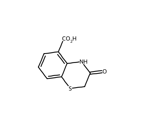 O=C1CSc2cccc(C(=O)O)c2N1